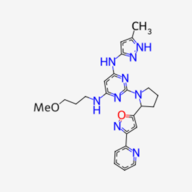 COCCCNc1cc(Nc2cc(C)[nH]n2)nc(N2CCCC2c2cc(-c3ccccn3)no2)n1